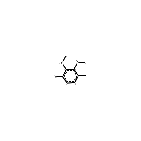 [CH2]Oc1c(C)ccc(C)c1O[CH2]